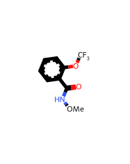 CONC(=O)c1ccccc1OC(F)(F)F